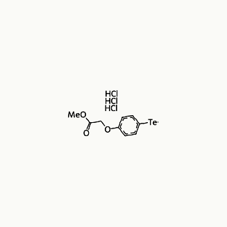 COC(=O)COc1ccc([Te])cc1.Cl.Cl.Cl